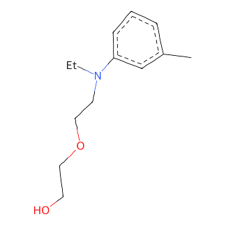 CCN(CCOCCO)c1cccc(C)c1